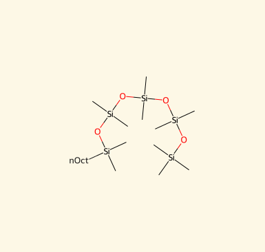 [CH2]CCCCCCC[Si](C)(C)O[Si](C)(C)O[Si](C)(C)O[Si](C)(C)O[Si](C)(C)C